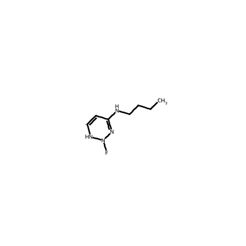 CCCCNC1=NN(F)N[C]=C1